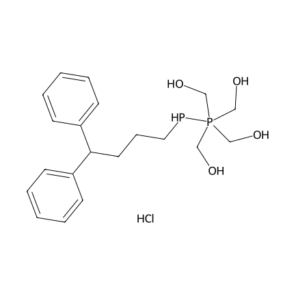 Cl.OCP(CO)(CO)(CO)PCCCC(c1ccccc1)c1ccccc1